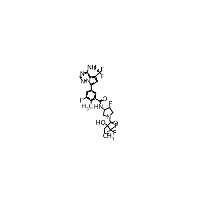 CCC(O)(C(=O)N1C[C@H](F)[C@H](NC(=O)c2cc(-c3cc(C(F)(F)F)c4c(N)ncnn34)cc(F)c2C)C1)C(F)(F)F